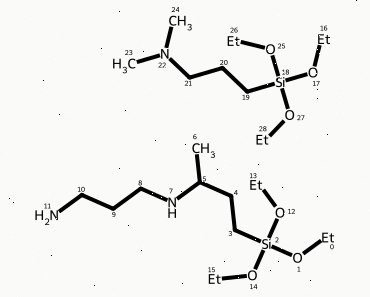 CCO[Si](CCC(C)NCCCN)(OCC)OCC.CCO[Si](CCCN(C)C)(OCC)OCC